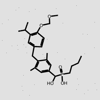 CCCCP(=O)(O)C(O)c1cc(C)c(Cc2ccc(OCOC)c(C(C)C)c2)c(C)c1